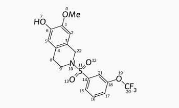 COc1cc2c(cc1O)CCN(S(=O)(=O)c1cccc(OC(F)(F)F)c1)C2